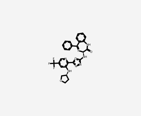 O=C1Nc2ccccc2C(c2ccccc2)=N[C@@H]1Nc1nnc(-c2ncc(C(F)(F)F)cc2N[C@H]2CCOC2)o1